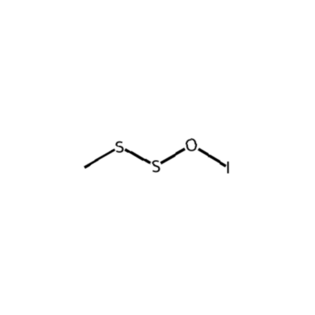 CSSOI